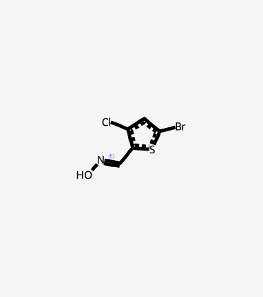 O/N=C/c1sc(Br)cc1Cl